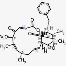 CC(=O)O[C@H]1C(=O)/C=C/C(=O)O[C@@]23C(=O)N[C@@H](Cc4ccccc4)[C@@H]2[C@H](C)[C@@]2(C)O[C@H]2[C@@H]3/C=C/C[C@H](C)/C=C\1C